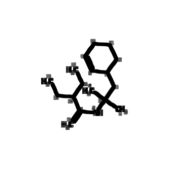 C=C(NC(C)(C)CC1C=CCCC1)C(CC)CC